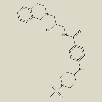 CS(=O)(=O)N1CCC(Nc2ccc(C(=O)NCC(O)CN3CCc4ccccc4C3)cc2)CC1